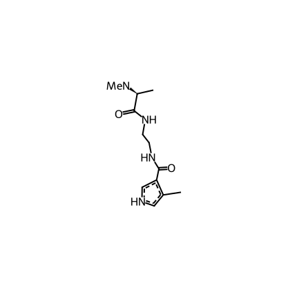 CN[C@@H](C)C(=O)NCCNC(=O)c1c[nH]cc1C